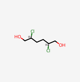 OC[C@@H](Cl)CC[C@H](Cl)CO